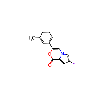 Cc1cccc(-c2cn3cc(I)cc3c(=O)o2)c1